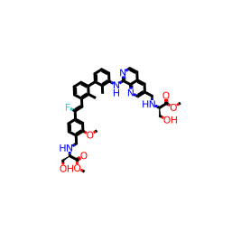 COC(=O)[C@@H](CO)NCc1cnc2c(Nc3cccc(-c4cccc(/C=C(\F)c5ccc(CN[C@H](CO)C(=O)OC)c(OC)c5)c4C)c3C)nccc2c1